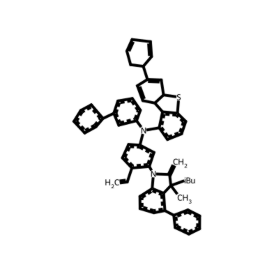 C=Cc1ccc(N(c2cccc(-c3ccccc3)c2)c2cccc3c2C2C=CC(C4C=CC=CC4)=CC2S3)cc1N1C(=C)C(C)(C(C)CC)c2c(-c3ccccc3)cccc21